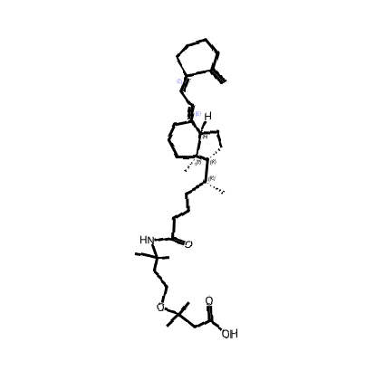 C=C1CCCC/C1=C/C=C1\CCC[C@]2(C)[C@@H]([C@H](C)CCCC(=O)NC(C)(C)CCOC(C)(C)CC(=O)O)CC[C@@H]12